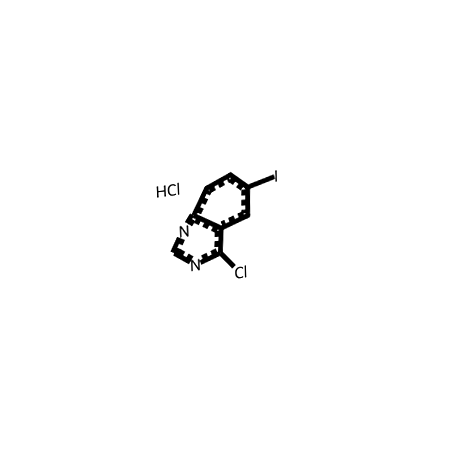 Cl.Clc1ncnc2ccc(I)cc12